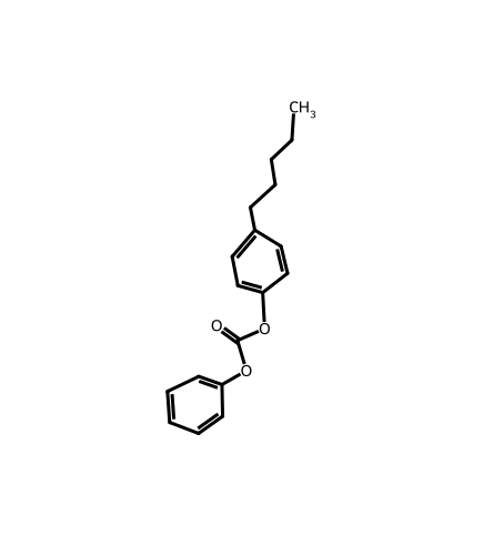 CCCCCc1ccc(OC(=O)Oc2ccccc2)cc1